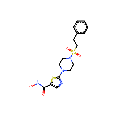 O=C(NO)c1cnc(N2CCN(S(=O)(=O)CCc3ccccc3)CC2)s1